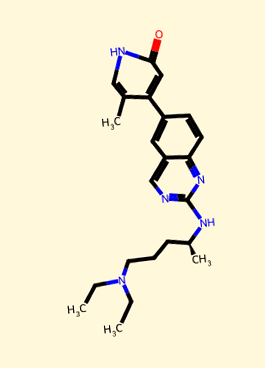 CCN(CC)CCC[C@H](C)Nc1ncc2cc(-c3cc(=O)[nH]cc3C)ccc2n1